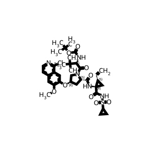 C=C[C@@H]1C[C@]1(NC(=O)[C@@H]1C[C@@H](Oc2cc3c(Cl)nccc3cc2OC)CN1C(=O)[C@@H](NC(=O)OC(C)(C)C)C(C)(C)C)C(=O)NS(=O)(=O)C1CC1